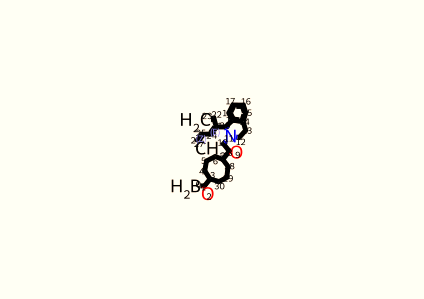 BC(=O)C1CCCC(C(=O)CN2CCc3ccccc3C2/C(C=C)=C/C=C\C)CCC1